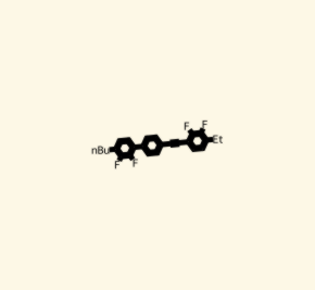 CCCCc1ccc(-c2ccc(C#Cc3ccc(CC)c(F)c3F)cc2)c(F)c1F